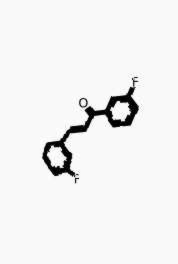 O=C(C=Cc1cccc(F)c1)c1cccc(F)c1